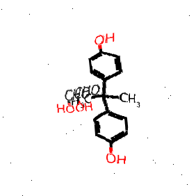 CC(C)(c1ccc(O)cc1)c1ccc(O)cc1.O=CO.O=CO